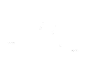 COc1ccc(CNC(=O)C2CC(=O)N(c3ccc(OC)cc3)C2)cc1